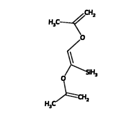 C=C(C)OC=C([SiH3])OC(=C)C